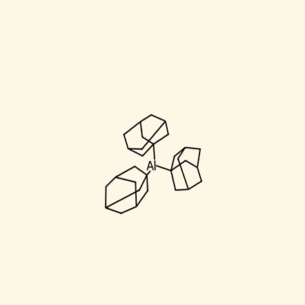 C1C2CC3CC1C[C]([Al]([C]14CC5CC(CC(C5)C1)C4)[C]14CC5CC(CC(C5)C1)C4)(C2)C3